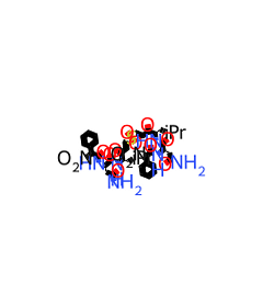 CC(C)C[C@H](NC(=O)[C@H](CC(N)=O)NC(=O)C(c1ccccc1)[N+](=O)[O-])C(=O)C=CS(=O)(=O)C=CC(=O)[C@H](CC(C)C)NC(=O)[C@H](CC(N)=O)NC(=O)C(c1ccccc1)[N+](=O)[O-]